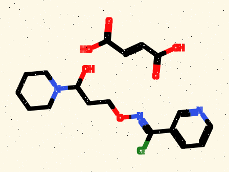 O=C(O)C=CC(=O)O.OC(CCON=C(Cl)c1cccnc1)N1CCCCC1